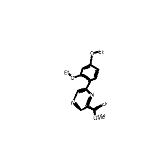 CCOc1ccc(-c2cncc(C(=O)OC)n2)c(OCC)c1